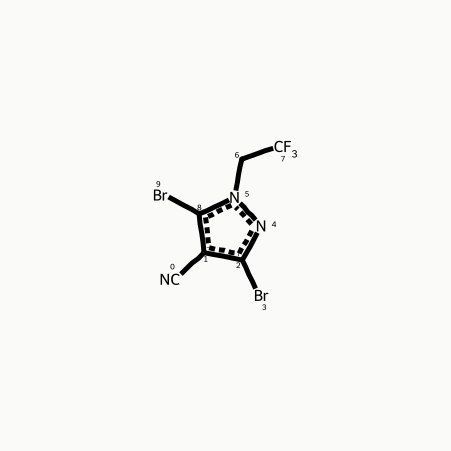 N#Cc1c(Br)nn(CC(F)(F)F)c1Br